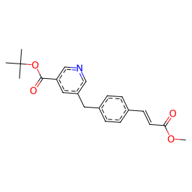 COC(=O)C=Cc1ccc(Cc2cncc(C(=O)OC(C)(C)C)c2)cc1